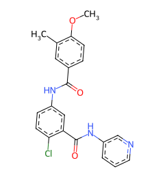 COc1ccc(C(=O)Nc2ccc(Cl)c(C(=O)Nc3cccnc3)c2)cc1C